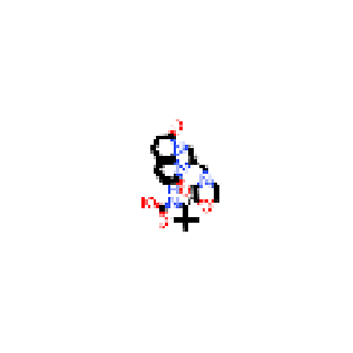 CC(C)(C)C(NC(=O)O)[C@@H]1CN(C[C@@H]2CN3C(=O)CCc4ccc(=O)n2c43)CCO1